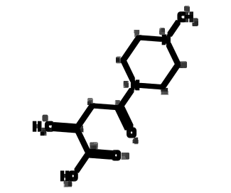 C=C(CC(=O)N1CCN(C)CC1)C(=O)O